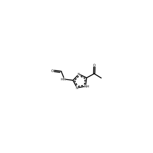 CC(=O)c1nc(N[C]=O)n[nH]1